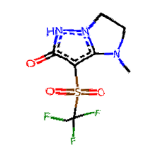 CN1CCn2[nH]c(=O)c(S(=O)(=O)C(F)(F)F)c21